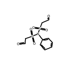 O=CCS(=O)(=O)N(c1ccccc1)S(=O)(=O)CC=O